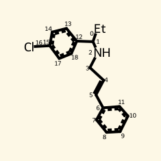 CCC(NCC=Cc1ccccc1)c1ccc(Cl)cc1